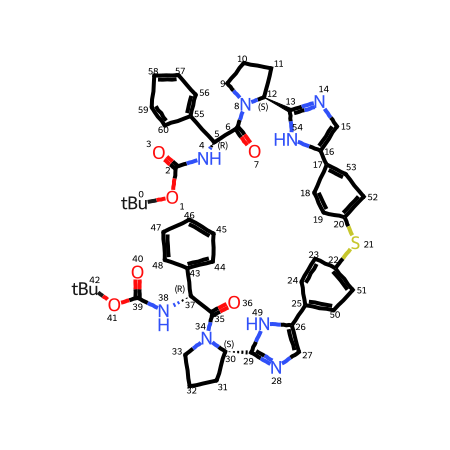 CC(C)(C)OC(=O)N[C@@H](C(=O)N1CCC[C@H]1c1ncc(-c2ccc(Sc3ccc(-c4cnc([C@@H]5CCCN5C(=O)[C@H](NC(=O)OC(C)(C)C)c5ccccc5)[nH]4)cc3)cc2)[nH]1)c1ccccc1